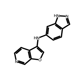 c1cc2c(Nc3ccc4cn[nH]c4c3)coc2cn1